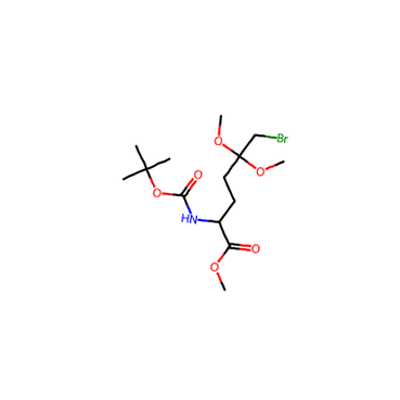 COC(=O)C(CCC(CBr)(OC)OC)NC(=O)OC(C)(C)C